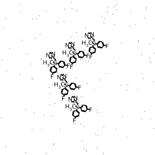 C[Si](Cn1cncn1)(c1ccc(F)cc1)c1ccc(F)cc1.C[Si](Cn1cncn1)(c1ccc(F)cc1)c1ccc(F)cc1.C[Si](Cn1cncn1)(c1ccc(F)cc1)c1ccc(F)cc1.C[Si](Cn1cncn1)(c1ccc(F)cc1)c1ccc(F)cc1.C[Si](Cn1cncn1)(c1ccc(F)cc1)c1ccc(F)cc1